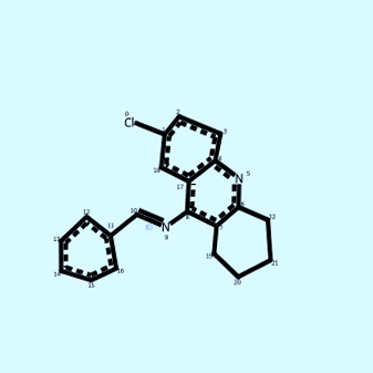 Clc1ccc2nc3c(c(/N=C/c4ccccc4)c2c1)CCCC3